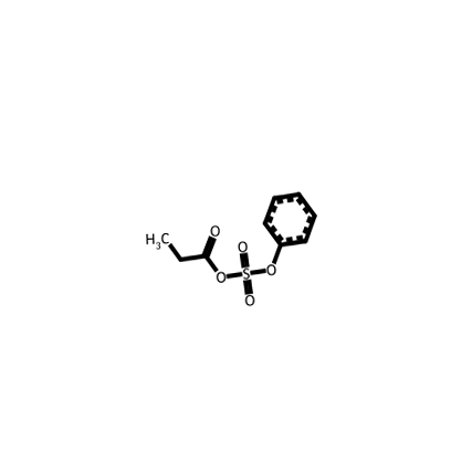 CCC(=O)OS(=O)(=O)Oc1ccccc1